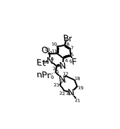 CCC[C@H](c1nc2c(F)cc(Br)cc2c(=O)n1CC)N1CCCN(C)CC1